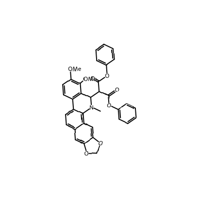 COc1ccc2c(c1OC)C(C(C(=O)Oc1ccccc1)C(=O)Oc1ccccc1)N(C)c1c-2ccc2cc3c(cc12)OCO3